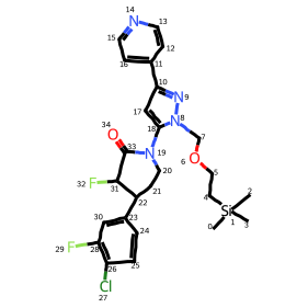 C[Si](C)(C)CCOCn1nc(-c2ccncc2)cc1N1CCC(c2ccc(Cl)c(F)c2)C(F)C1=O